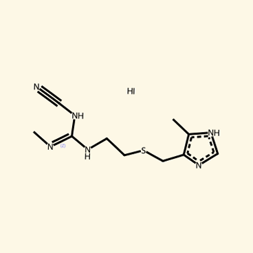 C/N=C(\NC#N)NCCSCc1nc[nH]c1C.I